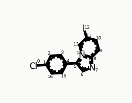 Clc1ccc(-c2cnc3ccc(I)cn23)cc1